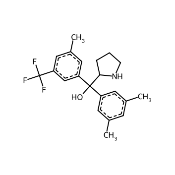 Cc1cc(C)cc(C(O)(c2cc(C)cc(C(F)(F)F)c2)C2CCCN2)c1